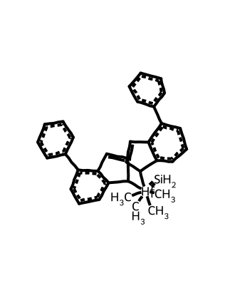 [CH3][Hf]([CH3])([CH3])([CH3])(=[SiH2])([CH]1C=Cc2c(-c3ccccc3)cccc21)[CH]1C=Cc2c(-c3ccccc3)cccc21